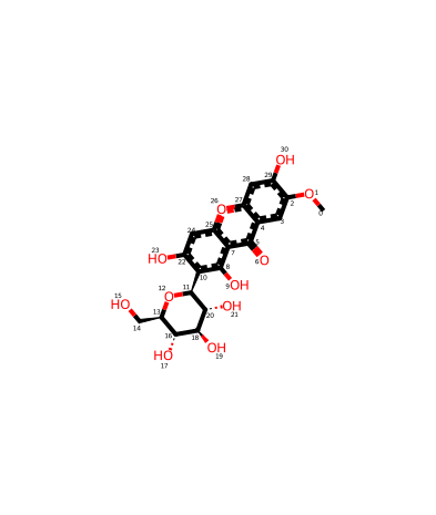 COc1cc2c(=O)c3c(O)c([C@@H]4O[C@H](CO)[C@@H](O)[C@H](O)[C@H]4O)c(O)cc3oc2cc1O